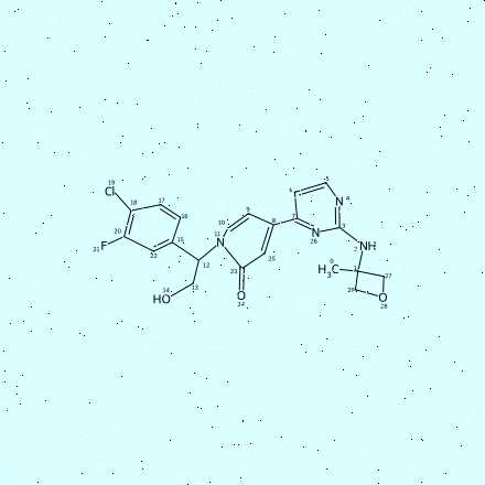 CC1(Nc2nccc(-c3ccn(C(CO)c4ccc(Cl)c(F)c4)c(=O)c3)n2)COC1